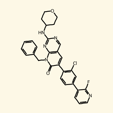 O=c1c(-c2ccc(-c3cccnc3F)cc2Cl)cc2cnc(NC3CCOCC3)nc2n1Cc1ccccc1